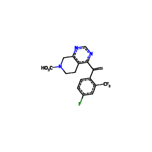 C=C(c1ccc(F)cc1C(F)(F)F)c1ncnc2c1CCN(C(=O)O)C2